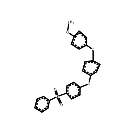 COc1ccc(Oc2ccc(Oc3ccc(S(=O)(=O)c4ccccc4)cc3)cc2)cc1